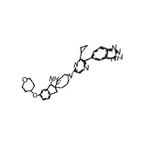 N[C@@H]1c2cc(OC3CCOCC3)ccc2CC12CCN(c1cnc(-c3ccc4nn[nH]c4c3)c(C3CC3)n1)CC2